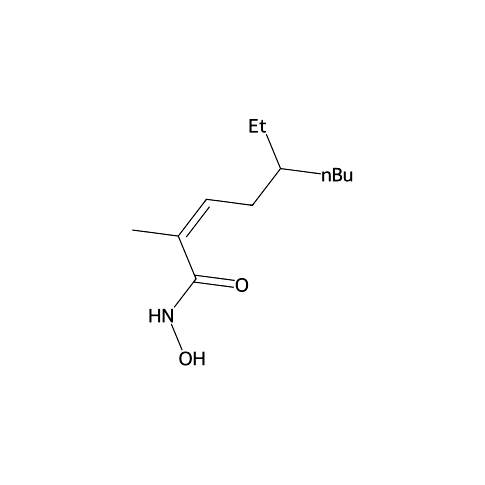 CCCCC(CC)CC=C(C)C(=O)NO